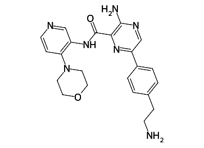 NCCc1ccc(-c2cnc(N)c(C(=O)Nc3cnccc3N3CCOCC3)n2)cc1